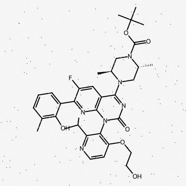 Cc1cccc(-c2nc3c(cc2F)c(N2C[C@@H](C)N(C(=O)OC(C)(C)C)C[C@@H]2C)nc(=O)n3-c2c(OCCO)ccnc2C(C)C)c1O